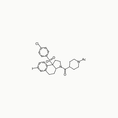 CC(=O)N1CCC(C(=O)N2CCC3(S(=O)(=O)c4ccc(Cl)cc4)c4ccc(I)cc4CCC23)CC1